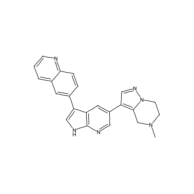 CN1CCn2ncc(-c3cnc4[nH]cc(-c5ccc6ncccc6c5)c4c3)c2C1